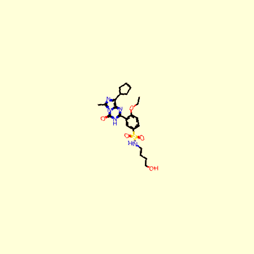 CCOc1ccc(S(=O)(=O)NCCCCO)cc1-c1nc2c(C3CCCC3)nc(C)n2c(=O)[nH]1